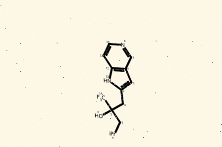 CC(C)CC(O)(Cc1cc2cnccc2[nH]1)C(F)(F)F